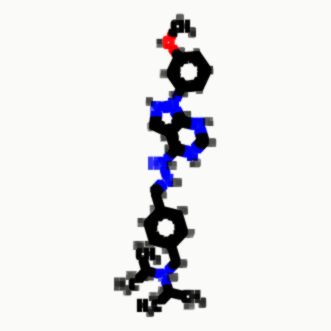 COc1cccc(-n2ncc3c(N/N=C/c4ccc(CN(C(C)C)C(C)C)cc4)ncnc32)c1